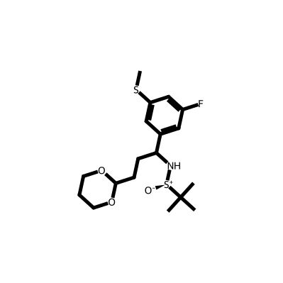 CSc1cc(F)cc(C(CCC2OCCCO2)N[S@+]([O-])C(C)(C)C)c1